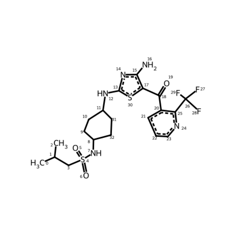 CC(C)CS(=O)(=O)NC1CCC(Nc2nc(N)c(C(=O)c3cccnc3C(F)(F)F)s2)CC1